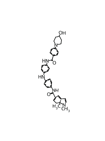 CN1C=CC2=CC(C(=O)Nc3ccc(Nc4ccc(NC(=O)c5ccc(N6CCC(O)CC6)cc5)cc4)cc3)=CCC21C